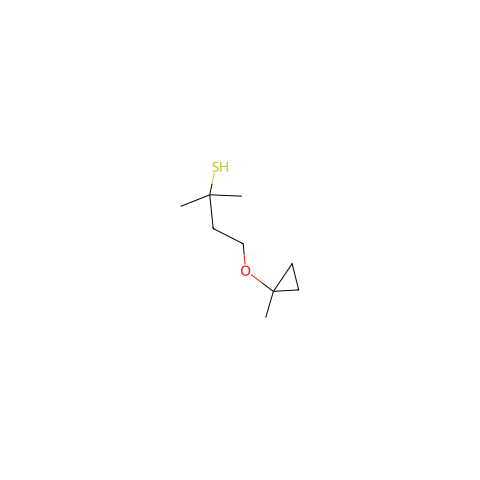 CC(C)(S)CCOC1(C)CC1